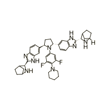 Fc1cc(N2[C@@H](c3ccc4nc([C@H]5NC6CCC5C6)[nH]c4c3)CC[C@@H]2c2ccc3nc([C@H]4N[C@H]5CCC4C5)[nH]c3c2)cc(F)c1N1CCCCC1